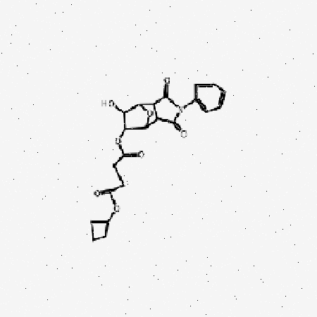 O=C(CCC(=O)OC1C(O)C2OC1C1C(=O)N(c3ccccc3)C(=O)C21)OC1CCC1